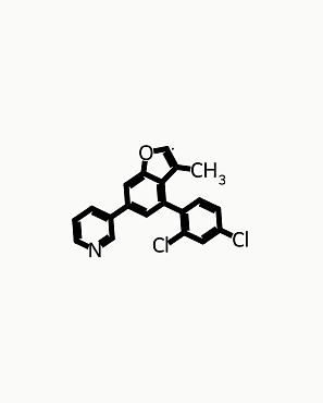 Cc1[c]oc2cc(-c3cccnc3)cc(-c3ccc(Cl)cc3Cl)c12